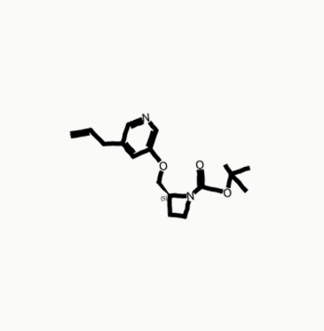 C=CCc1cncc(OC[C@@H]2CCN2C(=O)OC(C)(C)C)c1